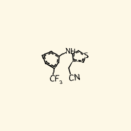 N#CCc1cscc1Nc1cccc(C(F)(F)F)c1